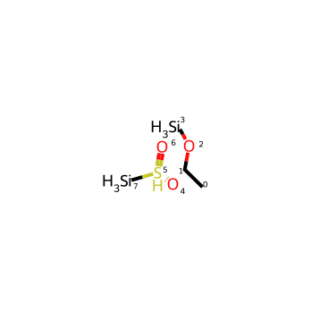 CCO[SiH3].O=[SH](=O)[SiH3]